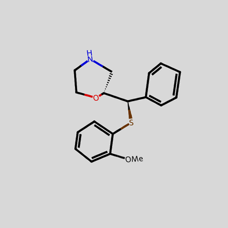 COc1ccccc1S[C@H](c1ccccc1)[C@H]1CNCCO1